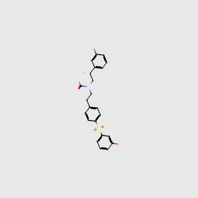 O=C(O)N(CCc1ccc(S(=O)(=O)c2cccc(O)c2)cc1)C[C@H](O)c1cccc(Cl)c1